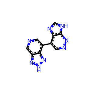 c1nc2c(-c3cncc4n[nH]nc34)cnnc2[nH]1